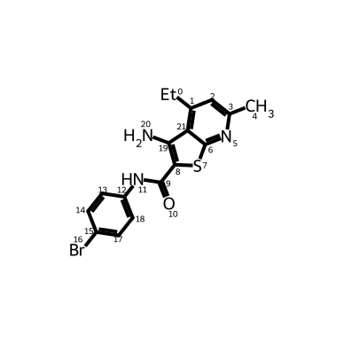 CCc1cc(C)nc2sc(C(=O)Nc3ccc(Br)cc3)c(N)c12